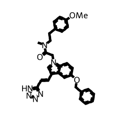 COc1ccc(CCN(C)C(=O)Cn2cc(C=Cc3nnn[nH]3)c3cc(OCc4ccccc4)ccc32)cc1